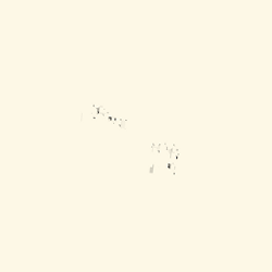 CC(C)c1ncc(C(=O)N2CCOC3(CCN(CCCCCCCCCNC[C@H](O)c4ccc(O)c5ncsc45)CC3)C2)s1